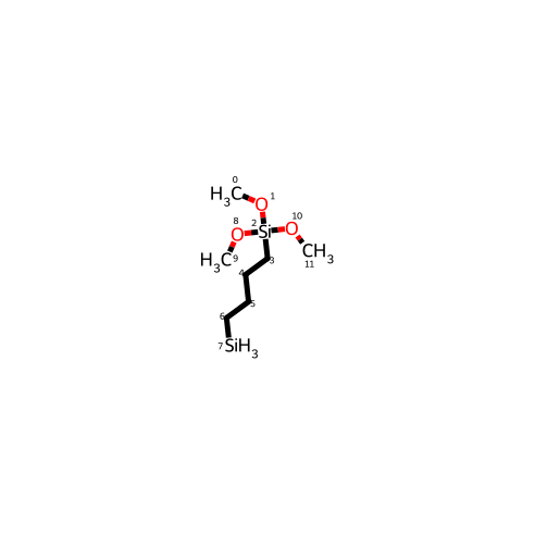 CO[Si](CCCC[SiH3])(OC)OC